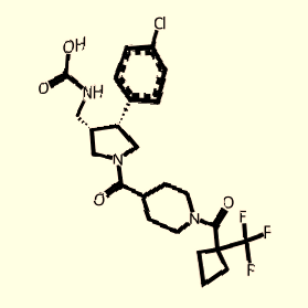 O=C(O)NC[C@H]1CN(C(=O)C2CCN(C(=O)C3(C(F)(F)F)CCC3)CC2)C[C@H]1c1ccc(Cl)cc1